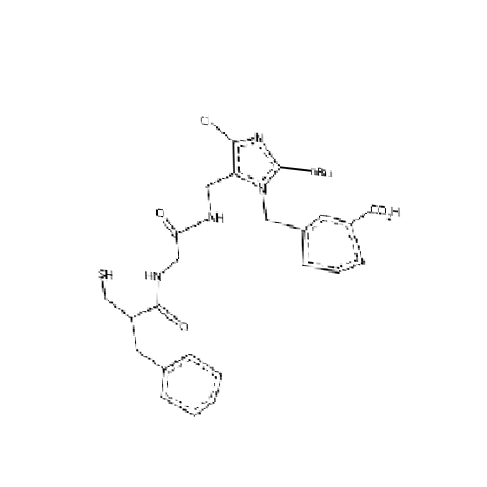 CCCCc1nc(Cl)c(CNC(=O)CNC(=O)C(CS)Cc2ccccc2)n1Cc1cccc(C(=O)O)c1